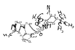 COc1c(C#N)cc(C(C)(C)C)cc1NC(=O)C(=O)c1ccc(-c2ccnc(C)c2)c2ccccc12